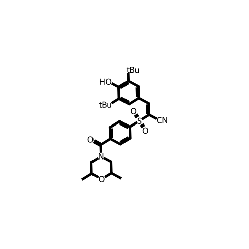 CC1CN(C(=O)c2ccc(S(=O)(=O)/C(C#N)=C\c3cc(C(C)(C)C)c(O)c(C(C)(C)C)c3)cc2)CC(C)O1